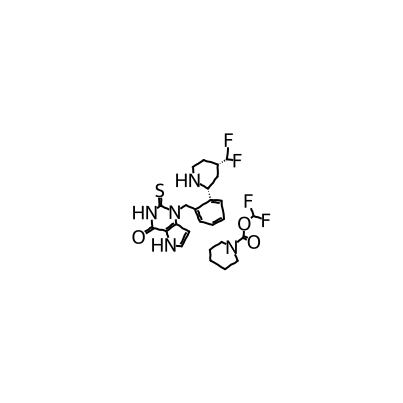 O=C(OC(F)F)N1CCCCC1.O=c1[nH]c(=S)n(Cc2ccccc2[C@H]2C[C@@H](C(F)F)CCN2)c2cc[nH]c12